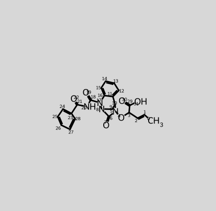 CC=CC(ON1C(=O)N2CC1c1ccccc1N2C(=O)NC(=O)c1ccccc1)C(=O)O